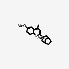 CNC1C2CCC1CN(c1cc(C)c3cc(OC)ccc3n1)C2